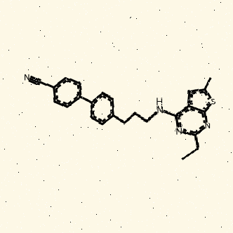 CCc1nc(NCCCc2ccc(-c3ccc(C#N)cc3)cc2)c2cc(C)sc2n1